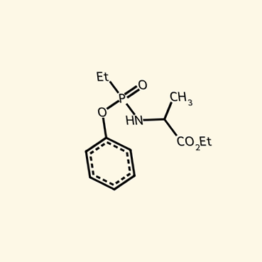 CCOC(=O)C(C)NP(=O)(CC)Oc1ccccc1